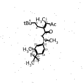 CC(=O)/C(C)=C(/CCC(C)(C)C)C(=O)CN(C)c1ccc(C(C)(F)F)c(C)c1